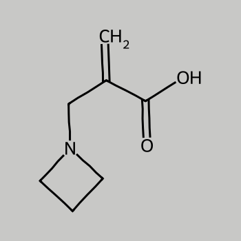 C=C(CN1CCC1)C(=O)O